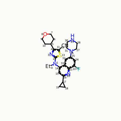 CCN(c1nc(C2CCOCC2)c(C#N)s1)c1cc(C2CC2)nc2c(F)cc(N3CCNCC3)cc12